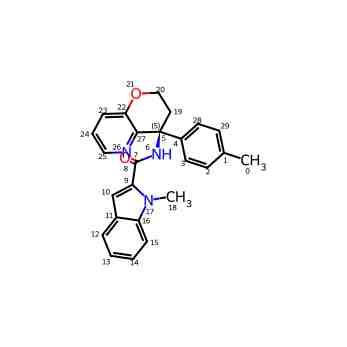 Cc1ccc([C@@]2(NC(=O)c3cc4ccccc4n3C)CCOc3cccnc32)cc1